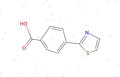 O=C(O)c1ccc(-c2nccs2)cc1